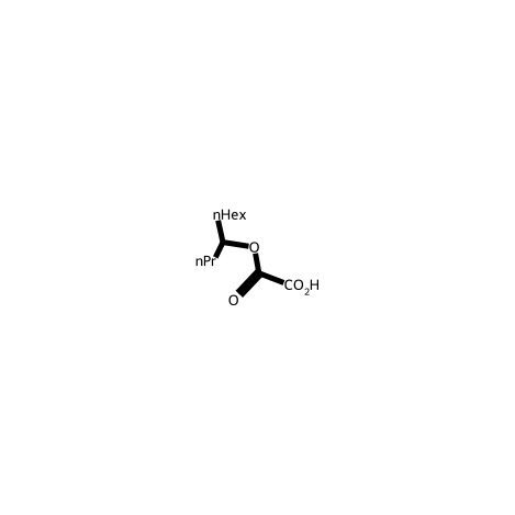 CCCCCCC(CCC)OC(=O)C(=O)O